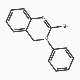 SC1=Nc2ccccc2CN1c1ccccc1